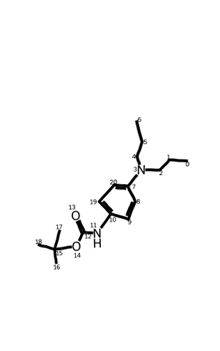 CCCN(CCC)c1ccc(NC(=O)OC(C)(C)C)cc1